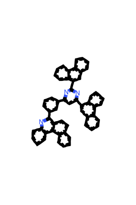 c1cc(-c2cc(-c3cc4ccccc4c4ccccc34)nc(-c3cc4ccccc4c4ccccc34)n2)cc(-c2nc3ccccc3c3c2ccc2ccccc23)c1